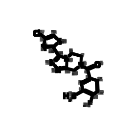 Bc1cc(C(=O)N2CCn3c(nnc3-c3nc(Cl)cs3)C2)ccc1F